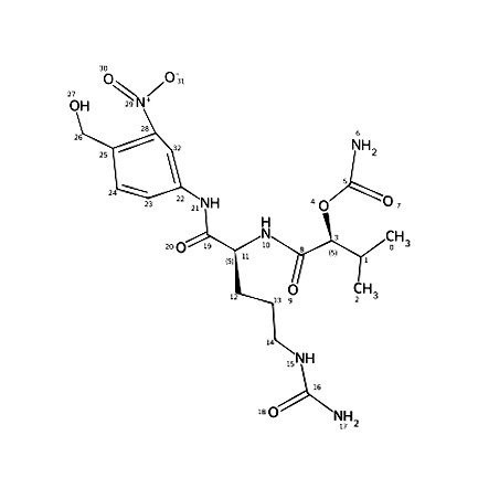 CC(C)[C@H](OC(N)=O)C(=O)N[C@@H](CCCNC(N)=O)C(=O)Nc1ccc(CO)c([N+](=O)[O-])c1